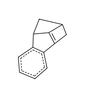 c1ccc2c(c1)C1=C3C(C1)CC32